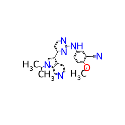 COc1ccc(Nc2nccc(-c3cn(C(C)C)c4cnccc34)n2)cc1C#N